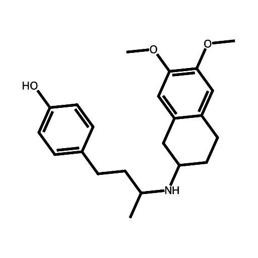 COc1cc2c(cc1OC)CC(NC(C)CCc1ccc(O)cc1)CC2